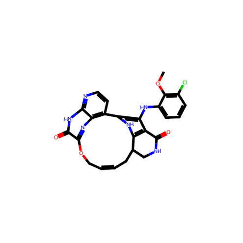 COc1c(Cl)cccc1Nc1c2[nH]c3c1C(=O)NCC3C/C=C\COc1nc3c-2ccnc3[nH]c1=O